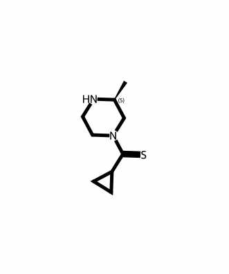 C[C@H]1CN(C(=S)C2CC2)CCN1